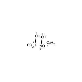 O=C(O)O.O=NO.[CaH2]